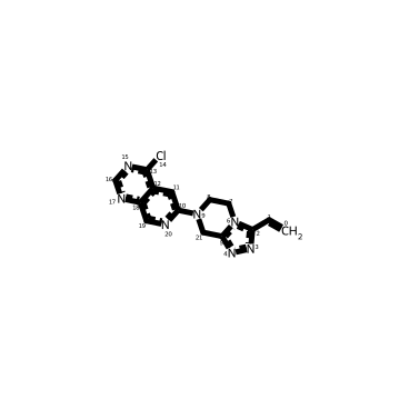 C=Cc1nnc2n1CCN(c1cc3c(Cl)ncnc3cn1)C2